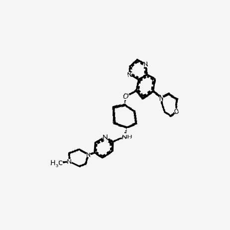 CN1CCN(c2ccc(N[C@H]3CC[C@@H](Oc4cc(N5CCOCC5)cc5nccnc45)CC3)nc2)CC1